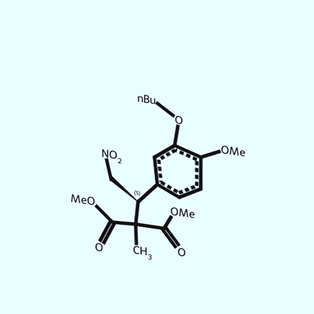 CCCCOc1cc([C@H](C[N+](=O)[O-])C(C)(C(=O)OC)C(=O)OC)ccc1OC